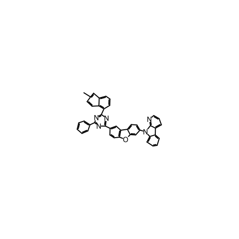 Cc1ccc2c(-c3nc(-c4ccccc4)nc(-c4ccc5oc6cc(-n7c8ccccc8c8cccnc87)ccc6c5c4)n3)cccc2c1